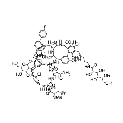 CN[C@H](CC(C)C)C(=O)N[C@H]1C(=O)N[C@@H](CC(N)=O)C(=O)N[C@H]2C(=O)N[C@@H]3C(=O)N[C@H](C(=O)N[C@H](C(=O)O)c4cc(O)c(CNCCCNC(=O)[C@H](O)[C@@H](O)[C@H](O)[C@H](O)CO)c(O)c4-c4cc3ccc4O)[C@H](O)c3ccc(c(Cl)c3)Oc3cc2cc(c3O[C@@H]2O[C@H](CO)C(O)C(O)[C@H]2O[C@@H]2C[C@@H](C)[C@@H](O)C(C)(NCc3ccc(-c4ccc(Cl)cc4)cc3)C2)Oc2ccc(cc2Cl)[C@H]1O